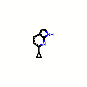 c1cc2ccc([C]3CC3)nc2[nH]1